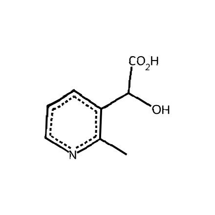 Cc1ncccc1C(O)C(=O)O